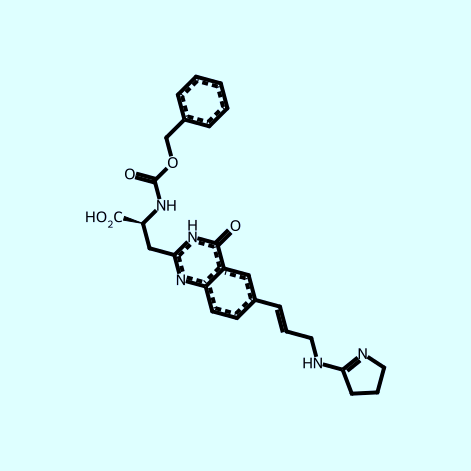 O=C(N[C@@H](Cc1nc2ccc(C=CCNC3=NCCC3)cc2c(=O)[nH]1)C(=O)O)OCc1ccccc1